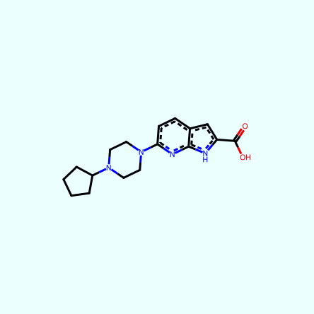 O=C(O)c1cc2ccc(N3CCN(C4CCCC4)CC3)nc2[nH]1